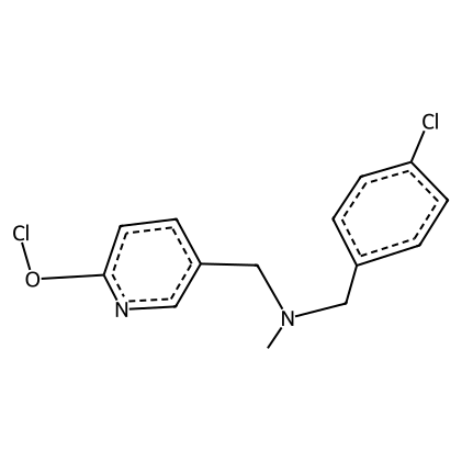 CN(Cc1ccc(Cl)cc1)Cc1ccc(OCl)nc1